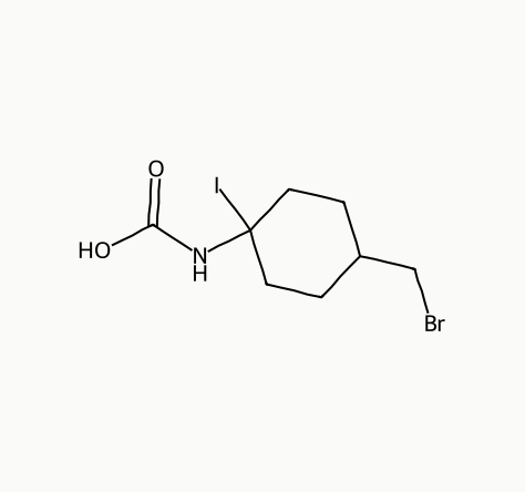 O=C(O)NC1(I)CCC(CBr)CC1